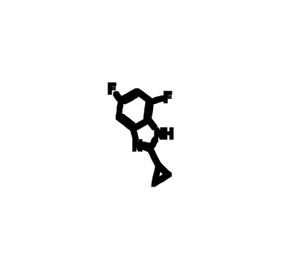 Fc1cc(F)c2[nH]c(C3CC3)nc2c1